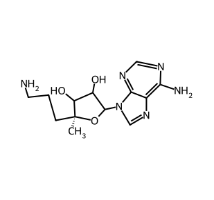 C[C@@]1(CCCN)OC(n2cnc3c(N)ncnc32)C(O)C1O